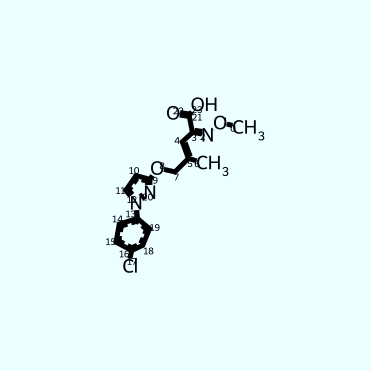 CON=C(C=C(C)COc1ccn(-c2ccc(Cl)cc2)n1)C(=O)O